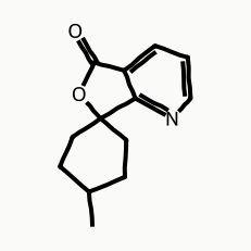 CC1CCC2(CC1)OC(=O)c1cccnc12